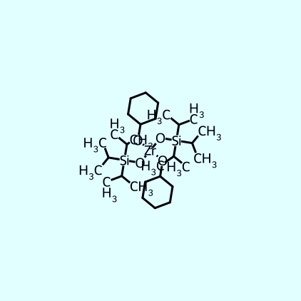 CC(C)[Si]([O][Zr]([O]C1CCCCC1)([O]C1CCCCC1)[O][Si](C(C)C)(C(C)C)C(C)C)(C(C)C)C(C)C